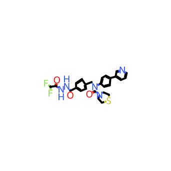 O=C(NNC(=O)C(F)F)c1ccc(CN(C(=O)N2CCSCC2)c2ccc(-c3cccnc3)cc2)cc1